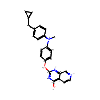 CN(c1ccc(CC2CC2)cc1)c1ccc(Oc2nc(O)c3ccncc3n2)cc1